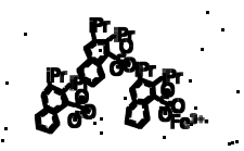 CC(C)c1cc2ccccc2c(S(=O)(=O)[O-])c1C(C)C.CC(C)c1cc2ccccc2c(S(=O)(=O)[O-])c1C(C)C.CC(C)c1cc2ccccc2c(S(=O)(=O)[O-])c1C(C)C.[Fe+3]